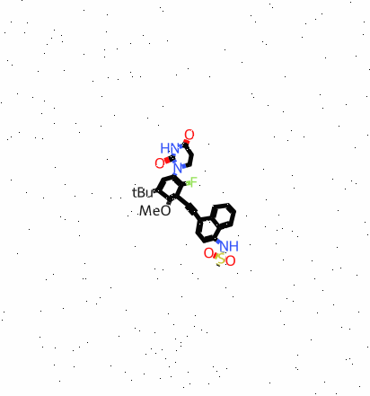 COc1c(C(C)(C)C)cc(N2CCC(=O)NC2=O)c(F)c1C#Cc1ccc(NS(C)(=O)=O)c2ccccc12